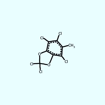 Cc1c(Cl)c(Cl)c2c(c1Cl)OC(Cl)(Cl)O2